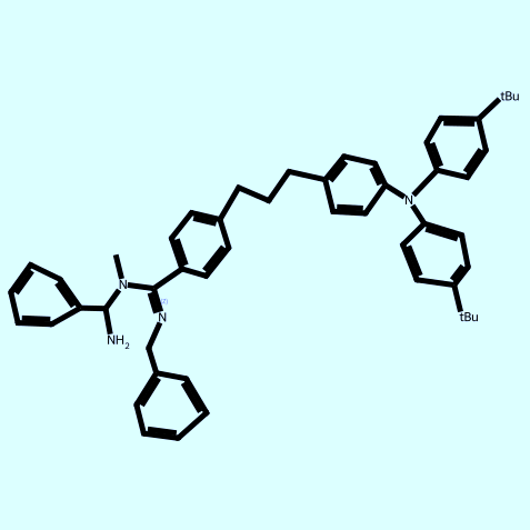 CN(/C(=N\Cc1ccccc1)c1ccc(CCCc2ccc(N(c3ccc(C(C)(C)C)cc3)c3ccc(C(C)(C)C)cc3)cc2)cc1)C(N)c1ccccc1